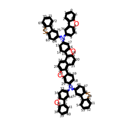 c1ccc2c(c1)oc1ccc(N(c3ccc4c(c3)oc3ccc5c(ccc6oc7cc(N(c8ccc9oc%10ccccc%10c9c8)c8ccc9sc%10ccccc%10c9c8)ccc7c65)c34)c3ccc4sc5ccccc5c4c3)cc12